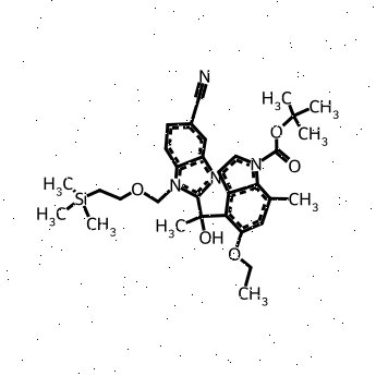 CCOc1cc(C)c2c(ccn2C(=O)OC(C)(C)C)c1C(C)(O)c1nc2cc(C#N)ccc2n1COCC[Si](C)(C)C